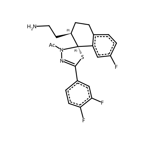 CC(=O)N1N=C(c2ccc(F)c(F)c2)S[C@]12c1cc(F)ccc1CC[C@@H]2CCN